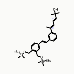 C/C(=C\C=C\C(C)(C)O)c1cccc(C=Cc2ccc(CO[Si](C)(C)C(C)(C)C)c(CO[Si](C)(C)C(C)(C)C)c2)c1